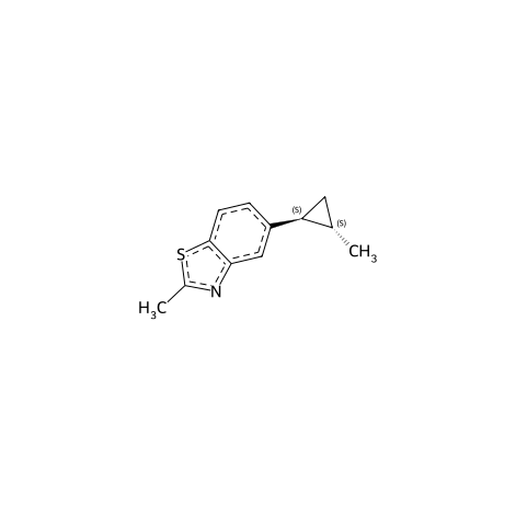 Cc1nc2cc([C@H]3C[C@@H]3C)ccc2s1